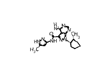 Cc1cc(NC(=O)c2nn([C@@H]3CCCC[C@H]3C)c3ncnc(N)c23)n[nH]1